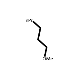 CCCCC[CH]OC